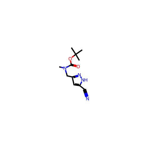 CN(Cc1cc(C#N)[nH]n1)C(=O)OC(C)(C)C